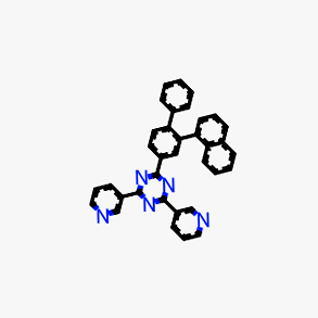 c1ccc(-c2ccc(-c3nc(-c4cccnc4)nc(-c4cccnc4)n3)cc2-c2cccc3ccccc23)cc1